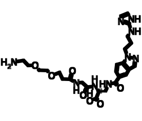 NCCOCCOCCC(=O)NCC(=O)N[C@@H](CNC(=O)c1ccc2c(cnn2CCCNc2ncc[nH]2)c1)C(=O)O